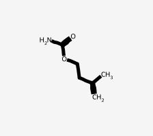 C=C(C)CCOC(N)=O